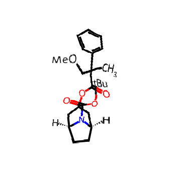 COCC(C)(C(=O)OC1C[C@H]2CC[C@@H](C1)N2C(=O)OC(C)(C)C)c1ccccc1